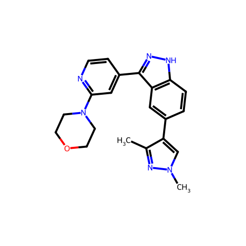 Cc1nn(C)cc1-c1ccc2[nH]nc(-c3ccnc(N4CCOCC4)c3)c2c1